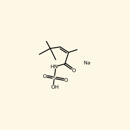 CC(=CC(C)(C)C)C(=O)NS(=O)(=O)O.[Na]